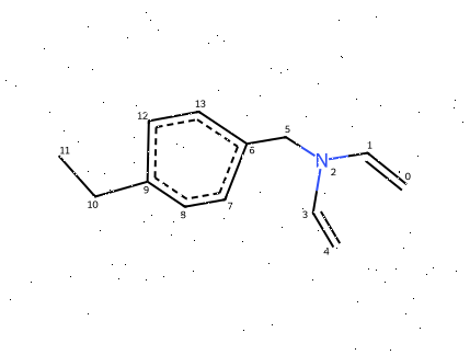 C=CN(C=C)Cc1ccc(CC)cc1